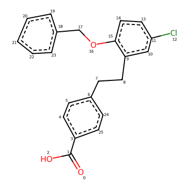 O=C(O)c1ccc(CCc2cc(Cl)ccc2OCc2ccccc2)cc1